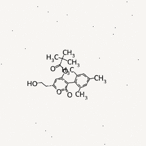 Cc1cc(C)c(-c2c(OC(=O)C(C)(C)C)cc(CCO)oc2=O)c(C)c1